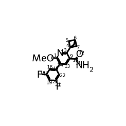 COc1nc(C23CC(C2)C3)c(C(N)=O)cc1-c1cc(F)cc(F)c1